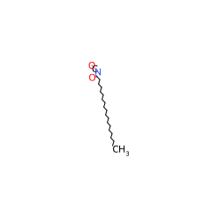 CCCCCCCCCCCCCCCCCCCC(=O)N=C=O